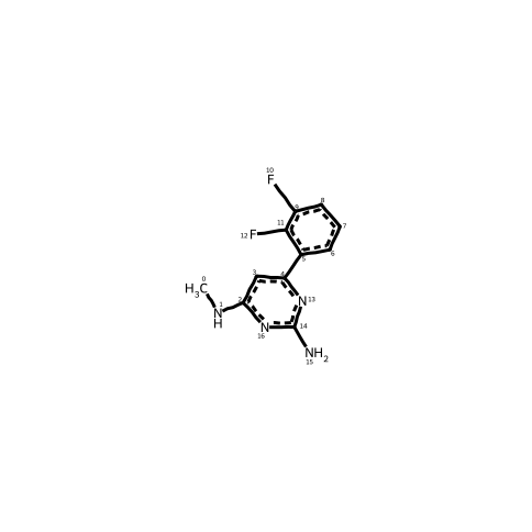 CNc1cc(-c2cccc(F)c2F)nc(N)n1